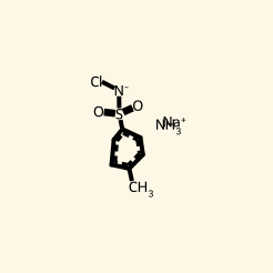 Cc1ccc(S(=O)(=O)[N-]Cl)cc1.N.[Na+]